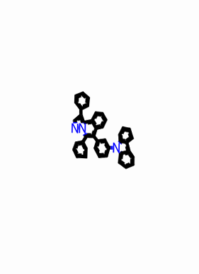 c1ccc(-c2cnn3c(-c4ccccc4)c(-c4cccc(-n5c6ccccc6c6ccccc65)c4)c4ccccc4c23)cc1